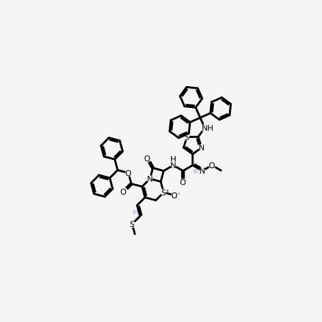 CO/N=C(/C(=O)NC1C(=O)N2C(C(=O)OC(c3ccccc3)c3ccccc3)=C(/C=C/SC)C[S+]([O-])C12)c1csc(NC(c2ccccc2)(c2ccccc2)c2ccccc2)n1